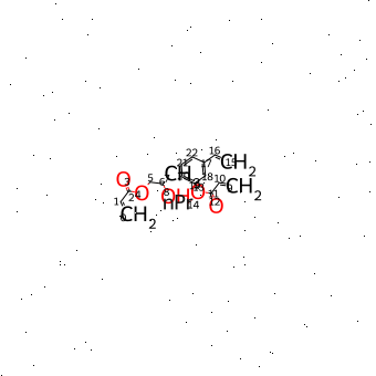 C=CC(=O)OCC(C)O.C=CC(=O)OCCC.C=Cc1ccccc1